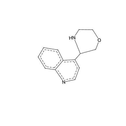 c1ccc2c(C3COCCN3)ccnc2c1